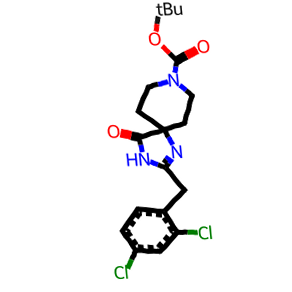 CC(C)(C)OC(=O)N1CCC2(CC1)N=C(Cc1ccc(Cl)cc1Cl)NC2=O